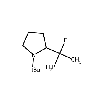 CC(F)(P)C1CCCN1C(C)(C)C